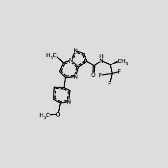 COc1ccc(-c2cc(C)n3ncc(C(=O)N[C@@H](C)C(F)(F)F)c3n2)cn1